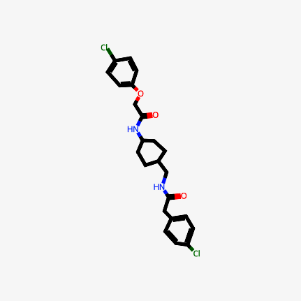 O=C(Cc1ccc(Cl)cc1)NCC1CCC(NC(=O)COc2ccc(Cl)cc2)CC1